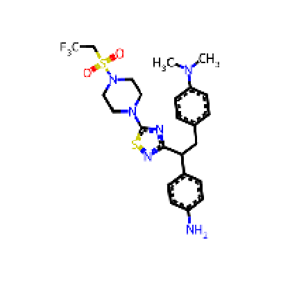 CN(C)c1ccc(CC(c2ccc(N)cc2)c2nsc(N3CCN(S(=O)(=O)CC(F)(F)F)CC3)n2)cc1